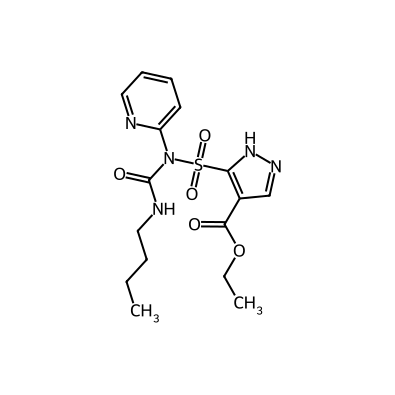 CCCCNC(=O)N(c1ccccn1)S(=O)(=O)c1[nH]ncc1C(=O)OCC